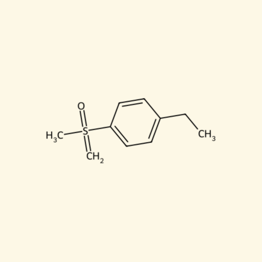 C=S(C)(=O)c1ccc(CC)cc1